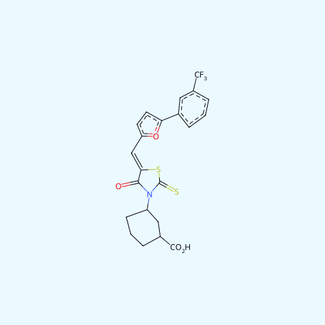 O=C(O)C1CCCC(N2C(=O)C(=Cc3ccc(-c4cccc(C(F)(F)F)c4)o3)SC2=S)C1